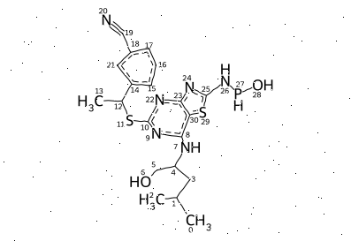 CC(C)CC(CO)Nc1nc(SC(C)c2cccc(C#N)c2)nc2nc(NPO)sc12